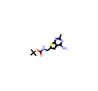 Cc1nc(N)c2cc(CNC(=O)OC(C)(C)C)sc2n1